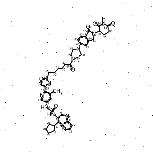 Cc1cc(NC(=O)Nc2cnc3ccnn3c2C2CCCC2)cnc1-c1noc(CCCCCC(=O)N2CCN(c3ccc4c(c3)CN(C3CCC(=O)NC3=O)C4=O)CC2)n1